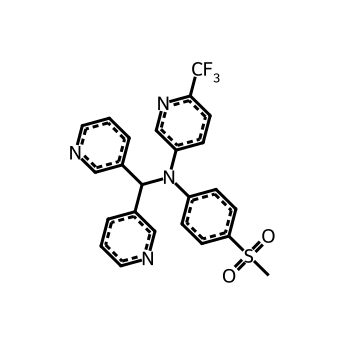 CS(=O)(=O)c1ccc(N(c2ccc(C(F)(F)F)nc2)C(c2cccnc2)c2cccnc2)cc1